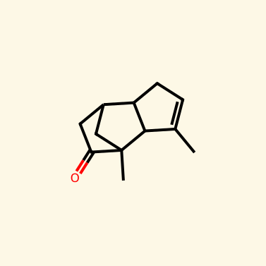 CC1=CCC2C3CC(=O)C(C)(C3)C12